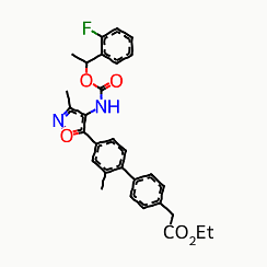 CCOC(=O)Cc1ccc(-c2ccc(-c3onc(C)c3NC(=O)OC(C)c3ccccc3F)cc2C)cc1